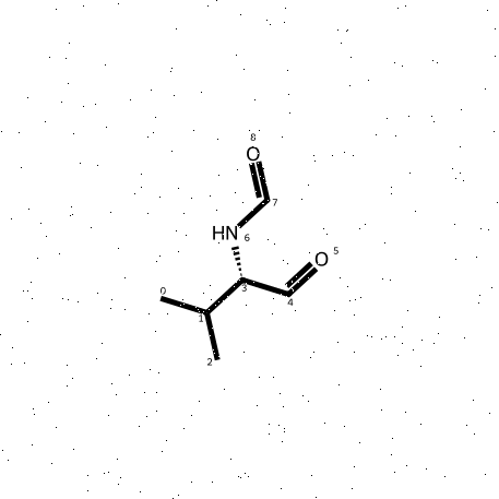 CC(C)[C@@H](C=O)NC=O